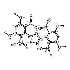 COc1cc(OC)c([N+](=O)[O-])c(-c2nnc(-c3c([N+](=O)[O-])c(OC)cc(OC)c3[N+](=O)[O-])o2)c1[N+](=O)[O-]